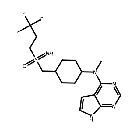 CN(c1ncnc2[nH]ccc12)C1CCC(CS(=N)(=O)CCC(F)(F)F)CC1